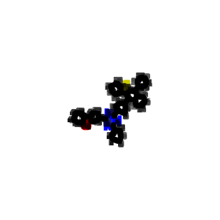 c1ccc(-c2nc(-c3ccc(-c4c5ccccc5c(-c5ccccc5)c5sc6ccccc6c45)cc3)nc(-c3ccc4c(c3)oc3ccccc34)n2)cc1